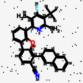 Bc1nc(-c2cccc3c2oc2c(-c4ccc5ccccc5c4)c(C#N)ccc23)c(B)c(F)c1C(C)(C)C